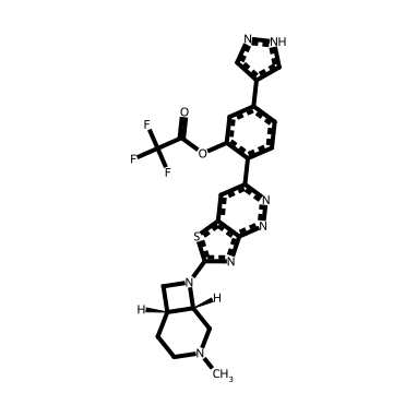 CN1CC[C@@H]2CN(c3nc4nnc(-c5ccc(-c6cn[nH]c6)cc5OC(=O)C(F)(F)F)cc4s3)[C@@H]2C1